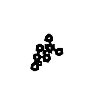 c1ccc(-c2nc(B3c4ccccc4-c4ccc5c(oc6ccccc65)c4-c4ccccc43)nc(-c3ccccc3)n2)cc1